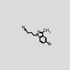 Cc1nn(CCCC#N)c2ccc(Br)cc12